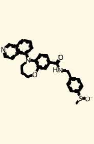 C[S+]([O-])c1ccc(CNC(=O)c2ccc3c(c2)OCCCN3c2cccc3cnccc23)cc1